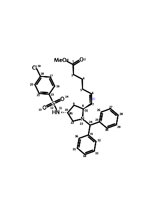 COC(=O)CCC/C=C\[C@@H]1C[C@@H](NS(=O)(=O)c2ccc(Cl)cc2)CN1C(c1ccccc1)c1ccccc1